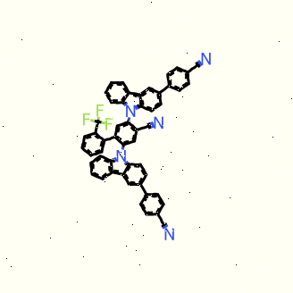 N#Cc1ccc(-c2ccc3c(c2)c2ccccc2n3-c2cc(-c3ccccc3C(F)(F)F)c(-n3c4ccccc4c4cc(-c5ccc(C#N)cc5)ccc43)cc2C#N)cc1